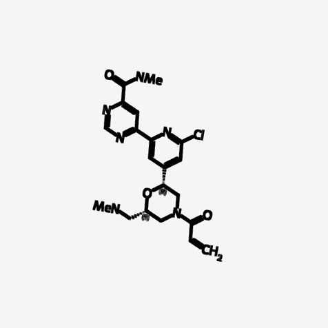 C=CC(=O)N1C[C@H](CNC)O[C@H](c2cc(Cl)nc(-c3cc(C(=O)NC)ncn3)c2)C1